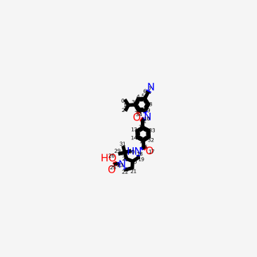 CC(C)c1cc(C#N)cc2nc(-c3ccc(C(=O)NCC4CCN(C(=O)O)C4C(C)(C)C)cc3)oc12